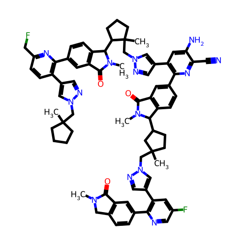 CN1Cc2ccc(-c3ncc(F)cc3-c3cnn(CC4(C)CCC(C5c6ccc(-c7nc(C#N)c(N)cc7-c7cnn(CC8(C)CCCC8C8c9ccc(-c%10nc(CF)ccc%10-c%10cnn(CC%11(C)CCCC%11)c%10)cc9C(=O)N8C)c7)cc6C(=O)N5C)C4)c3)cc2C1=O